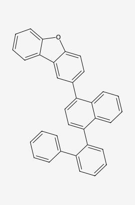 c1ccc(-c2ccccc2-c2ccc(-c3ccc4oc5ccccc5c4c3)c3ccccc23)cc1